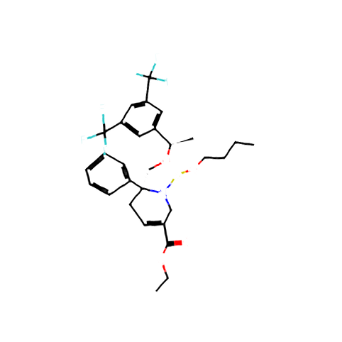 CCCCOSN1CC(C(=O)OCC)=CC[C@@]1(CO[C@H](C)c1cc(C(F)(F)F)cc(C(F)(F)F)c1)c1ccccc1